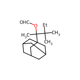 CCC(C)(C)C(C)(OC=O)C12CC3CC(CC(C3)C1)C2